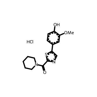 COc1cc(-c2cnc(C(=O)N3CCCCC3)s2)ccc1O.Cl